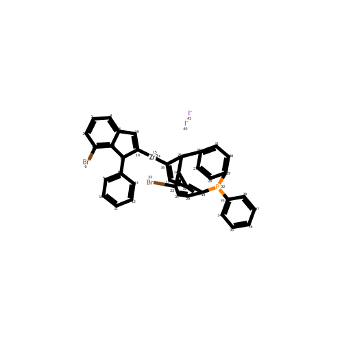 Brc1cccc2c1C(c1ccccc1)[C]([Zr+2][C]1=Cc3c4ccc(Br)c3C1c1ccc(cc1)P4c1ccccc1)=C2.[I-].[I-]